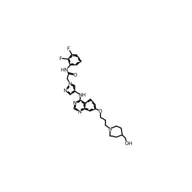 O=C(Cn1cc(Nc2ncnc3cc(OCCCN4CCC(CO)CC4)ccc23)cn1)Nc1cccc(F)c1F